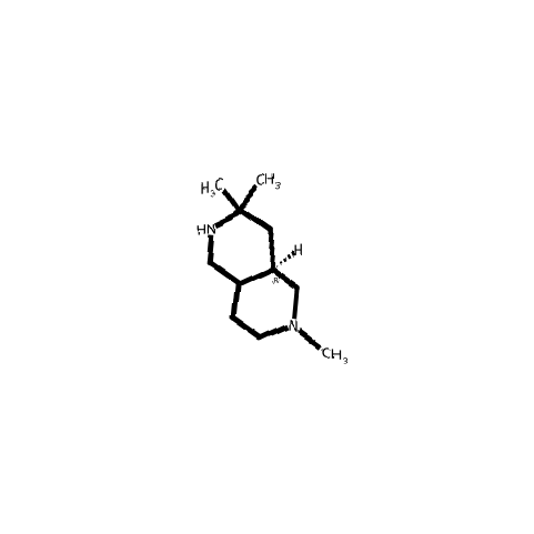 CN1CCC2CNC(C)(C)C[C@H]2C1